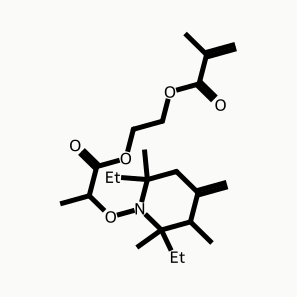 C=C(C)C(=O)OCCOC(=O)C(C)ON1C(C)(CC)CC(=C)C(C)C1(C)CC